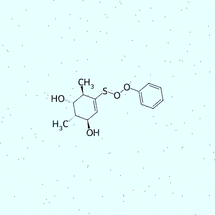 C[C@@H]1[C@H](O)[C@@H](C)C(SOOc2ccccc2)=C[C@H]1O